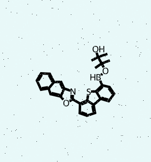 CC(C)(O)C(C)(C)OBc1cccc2c1sc1c(-c3nc4cc5ccccc5cc4o3)cccc12